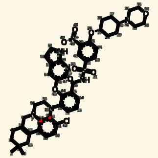 CC1(C)CCC(CN2CCN(c3cccc(C(=O)NS(=O)(=O)c4ccc(O[C@H]5CC[C@H](N6CCOCC6)CC5)c([N+](=O)[O-])c4)c3Oc3cnc4[nH]ccc4c3)CC2)=C(c2ccc(Cl)cc2)C1